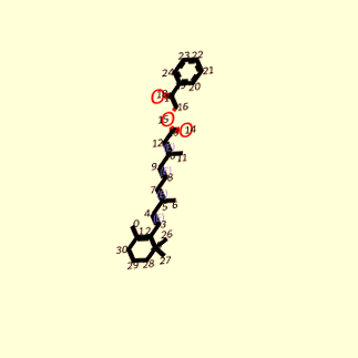 CC1=C(/C=C/C(C)=C/C=C/C(C)=C/C(=O)OCC(=O)c2ccccc2)C(C)(C)CCC1